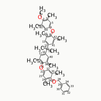 COc1c(C)cc(Oc2c(C)cc(C(C)(C)c3cc(C)c(Oc4cc(C)c(OCc5ccccc5)c(C)c4)c(C)c3)cc2C)cc1C